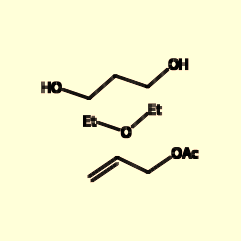 C=CCOC(C)=O.CCOCC.OCCCO